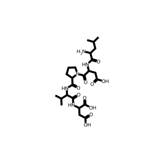 CC(C)CC(N)C(=O)NC(CC(=O)O)C(=O)N1CCCC1C(=O)NC(C(=O)NC(CC(=O)O)C(=O)O)C(C)C